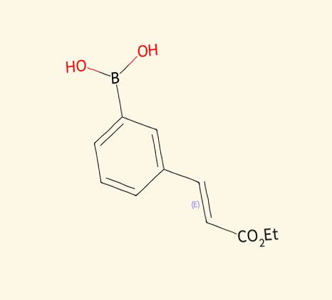 CCOC(=O)/C=C/c1cccc(B(O)O)c1